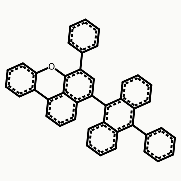 c1ccc(-c2cc(-c3c4ccccc4c(-c4ccccc4)c4ccccc34)c3cccc4c3c2Oc2ccccc2-4)cc1